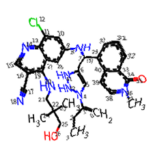 C=C(CC)N1C=C([C@@H](Nc2cc(Cl)c3ncc(C#N)c(NCC(C)(C)CO)c3c2)c2cccc3c(=O)n(C)ccc23)NN1